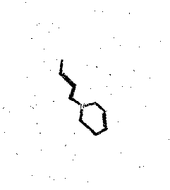 CC=CCN1C[C]=CCC1